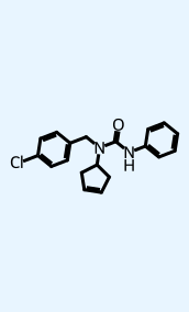 O=C(Nc1ccccc1)N(Cc1ccc(Cl)cc1)C1CC=CC1